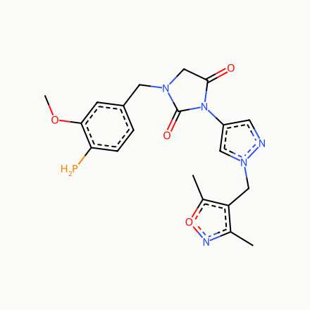 COc1cc(CN2CC(=O)N(c3cnn(Cc4c(C)noc4C)c3)C2=O)ccc1P